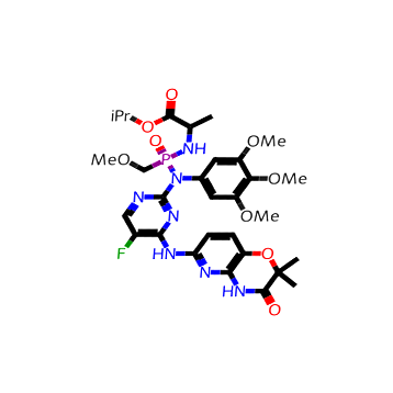 COCP(=O)(NC(C)C(=O)OC(C)C)N(c1cc(OC)c(OC)c(OC)c1)c1ncc(F)c(Nc2ccc3c(n2)NC(=O)C(C)(C)O3)n1